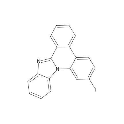 Ic1ccc2c3ccccc3c3nc4ccccc4n3c2c1